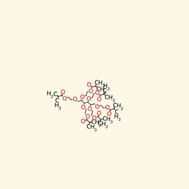 C=C(C)C(=O)OCCOCC(OCCOC(=O)C(=C)C)C(OCCOC(=O)C(=C)C)C(OCCOC(=O)C(=C)C)C(COCCOC(=O)C(=C)C)OCCOC(=O)C(=C)C